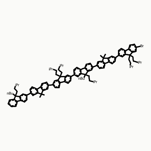 CCCCC1(CCC(C)C)c2ccccc2-c2ccc(-c3ccc4c(c3)C(C)(C)c3cc(-c5ccc6c(c5)C(CCC(C)C)(CCC(C)C)c5cc(-c7ccc8c(c7)C(CCCC)(CCC(C)C)c7cc(-c9ccc%10c(c9)C(C)(C)c9cc(-c%11ccc%12c(c%11)C(CCC(C)C)(CCC(C)C)c%11cc(Br)ccc%11-%12)ccc9-%10)ccc7-8)ccc5-6)ccc3-4)cc21